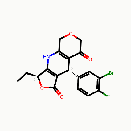 CC[C@@H]1OC(=O)C2=C1NC1=C(C(=O)COC1)[C@@H]2c1ccc(F)c(Br)c1